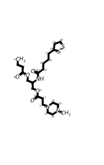 CCCC(=O)OCC(COC(=O)CCN1CCN(C)CC1)NC(=O)CCCCC1CCSS1